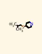 [CH2]C(C)CSc1ccncc1